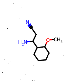 COC1CCCCC1C(N)CC#N